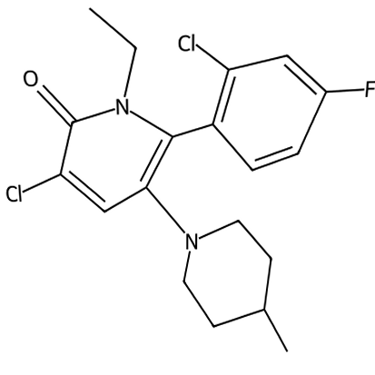 CCn1c(-c2ccc(F)cc2Cl)c(N2CCC(C)CC2)cc(Cl)c1=O